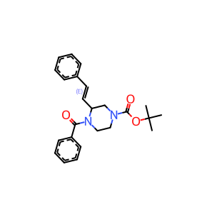 CC(C)(C)OC(=O)N1CCN(C(=O)c2ccccc2)C(/C=C/c2ccccc2)C1